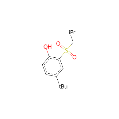 CC(C)CS(=O)(=O)c1cc(C(C)(C)C)ccc1O